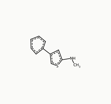 CNc1cc(-c2ccccc2)cs1